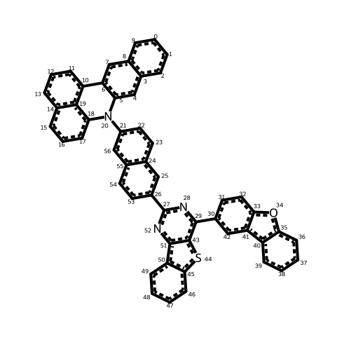 c1ccc2cc3c(cc2c1)-c1cccc2cccc(c12)N3c1ccc2cc(-c3nc(-c4ccc5oc6ccccc6c5c4)c4sc5ccccc5c4n3)ccc2c1